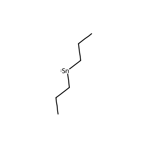 CC[CH2][Sn][CH2]CC